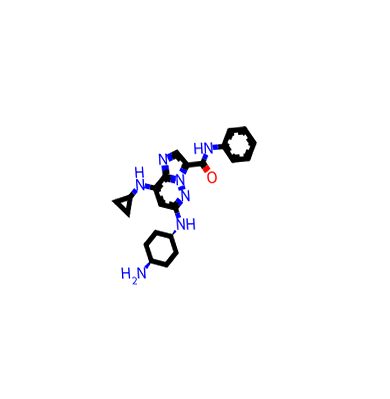 N[C@H]1CC[C@H](Nc2cc(NC3CC3)c3ncc(C(=O)Nc4ccccc4)n3n2)CC1